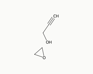 C#CCO.C1CO1